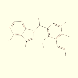 CCOc1c(C(C)n2nc(C)c3c(N)ncnc32)cc(Cl)c(C)c1C=CC(=O)O